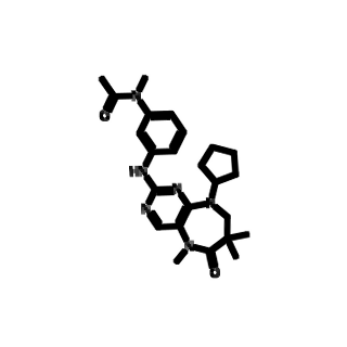 CC(=O)N(C)c1cccc(Nc2ncc3c(n2)N(C2CCCC2)CC(C)(C)C(=O)N3C)c1